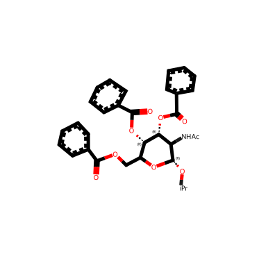 CC(=O)NC1[C@H](OC(C)C)OC(COC(=O)c2ccccc2)[C@H](OC(=O)c2ccccc2)[C@@H]1OC(=O)c1ccccc1